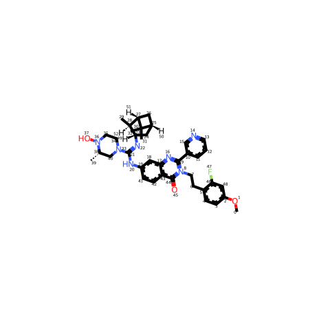 COc1ccc(CCn2c(-c3cccnc3)nc3cc(NC(=N[C@H]4C[C@H]5C[C@@H]([C@@H]4C)C5(C)C)N4CCN(O)[C@@H](C)C4)ccc3c2=O)c(F)c1